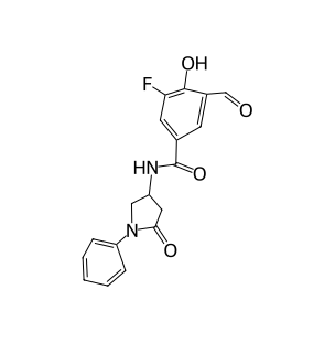 O=Cc1cc(C(=O)NC2CC(=O)N(c3ccccc3)C2)cc(F)c1O